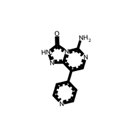 Nc1ncc(-c2ccncc2)c2n[nH]c(=O)n12